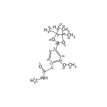 CNC(=O)Cc1ccc(B2OC(C)(C)C(C)(C)O2)cc1OC